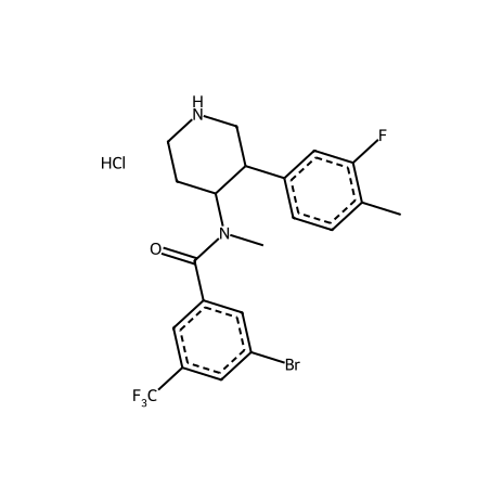 Cc1ccc(C2CNCCC2N(C)C(=O)c2cc(Br)cc(C(F)(F)F)c2)cc1F.Cl